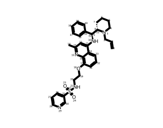 C=CCN1CCCC[C@H]1[C@@H](Nc1cc(C)nc2c(OCCNS(=O)(=O)c3cccnc3)cccc12)c1ccccc1